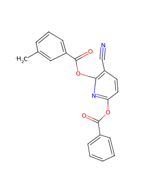 [CH2]c1cccc(C(=O)Oc2nc(OC(=O)c3ccccc3)ccc2C#N)c1